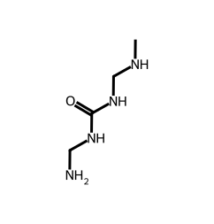 CNCNC(=O)NCN